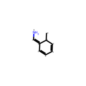 CC1C=CC=C/C1=C/N